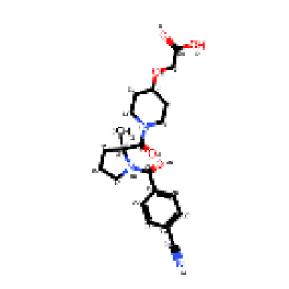 C[C@]1(C(=O)N2CCC(OCC(=O)O)CC2)CCCN1C(=O)c1ccc(C#N)cc1